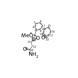 COC(=O)c1ccccc1.NC(=O)CCBr.c1cc2cc(c1)OC2